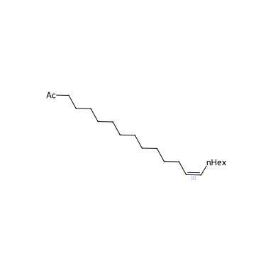 CCCCCC/C=C\CCCCCCCCCCCC(C)=O